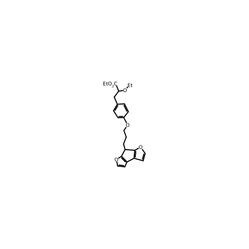 CCOC(=O)C(Cc1ccc(OCCCC2c3occc3-c3ccoc32)cc1)OCC